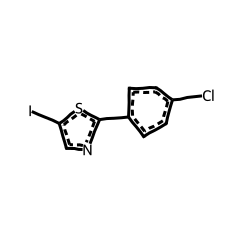 Clc1ccc(-c2ncc(I)s2)cc1